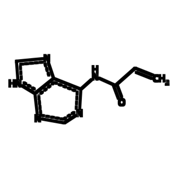 C=CC(=O)Nc1ncnc2[nH]cnc12